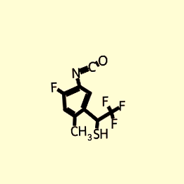 Cc1cc(F)c(N=C=O)cc1C(S)C(F)(F)F